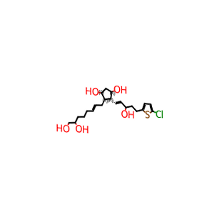 OCC(O)CCCC=CC[C@@H]1[C@@H](C=CC(O)CCc2ccc(Cl)s2)[C@H](O)C[C@@H]1O